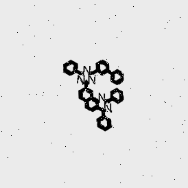 c1ccc(-c2cccc(-c3nc(-c4ccccc4)nc(-c4ccc5ccc6c(-c7ccccc7)nc(-c7ccccc7)nc6c5c4)n3)c2)cc1